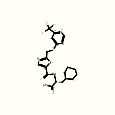 O=C(N[C@@H](CC1CCCCC1)C(=O)O)c1cnc(CNc2ccnc(C(F)(F)F)c2)s1